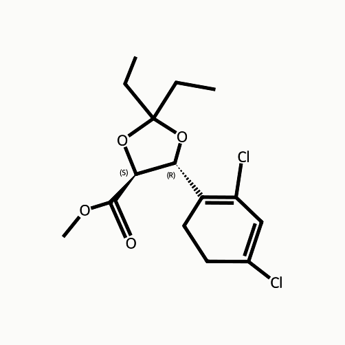 CCC1(CC)O[C@H](C(=O)OC)[C@@H](C2=C(Cl)C=C(Cl)CC2)O1